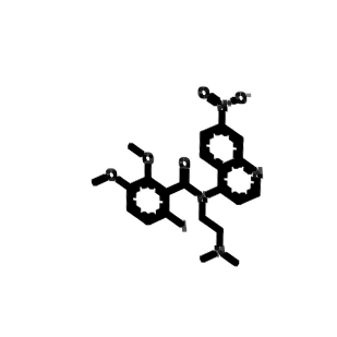 COc1ccc(I)c(C(=O)N(CCN(C)C)c2ccnc3cc([N+](=O)[O-])ccc23)c1OC